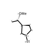 CCN1CC[C@H]([C@H](C)OC)C1